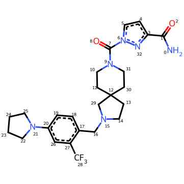 NC(=O)c1ccn(C(=O)N2CCC3(CCN(Cc4ccc(N5CCCC5)cc4C(F)(F)F)C3)CC2)n1